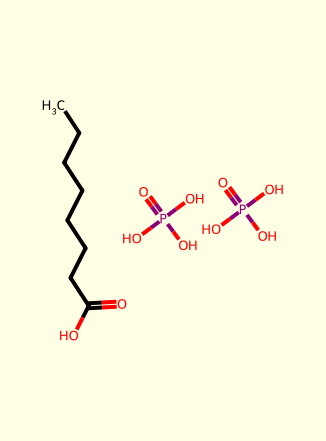 CCCCCCCC(=O)O.O=P(O)(O)O.O=P(O)(O)O